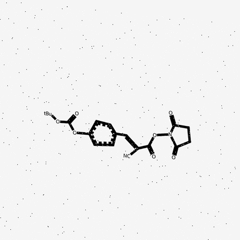 CC(C)(C)OC(=O)Oc1ccc(/C=C(\C#N)C(=O)ON2C(=O)CCC2=O)cc1